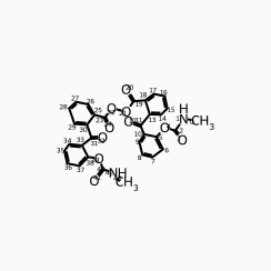 CNC(=O)Oc1ccccc1C(=O)c1ccccc1C(=O)OOC(=O)c1ccccc1C(=O)c1ccccc1OC(=O)NC